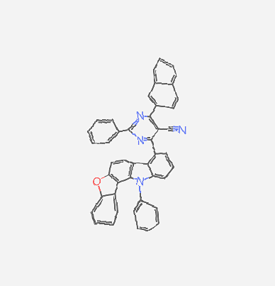 N#Cc1c(-c2ccc3ccccc3c2)nc(-c2ccccc2)nc1-c1cccc2c1c1ccc3oc4ccccc4c3c1n2-c1ccccc1